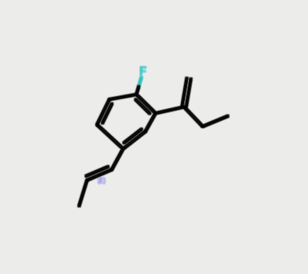 C=C(CC)c1cc(/C=C/C)ccc1F